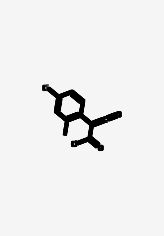 Cc1cc(Cl)ccc1C(=C=O)C(=O)Cl